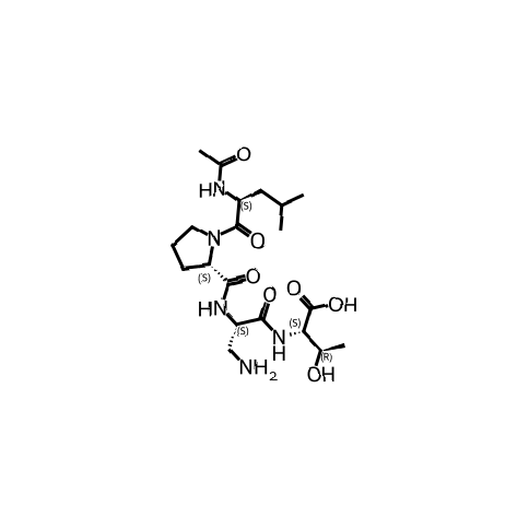 CC(=O)N[C@@H](CC(C)C)C(=O)N1CCC[C@H]1C(=O)N[C@@H](CN)C(=O)N[C@H](C(=O)O)[C@@H](C)O